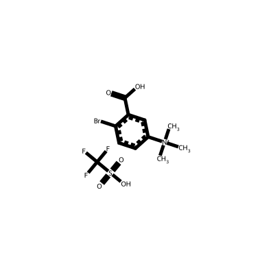 C[N+](C)(C)c1ccc(Br)c(C(=O)O)c1.O=S(=O)(O)C(F)(F)F